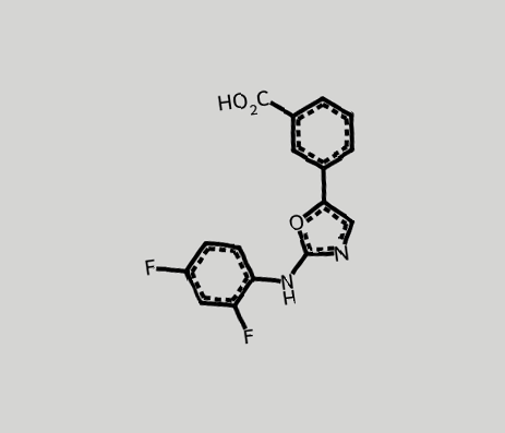 O=C(O)c1cccc(-c2cnc(Nc3ccc(F)cc3F)o2)c1